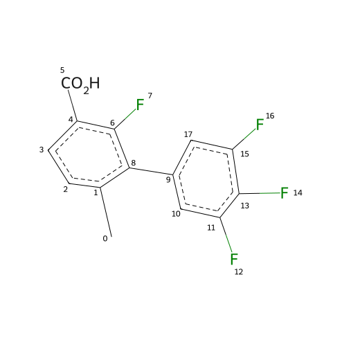 Cc1ccc(C(=O)O)c(F)c1-c1cc(F)c(F)c(F)c1